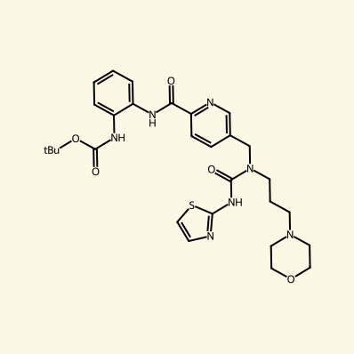 CC(C)(C)OC(=O)Nc1ccccc1NC(=O)c1ccc(CN(CCCN2CCOCC2)C(=O)Nc2nccs2)cn1